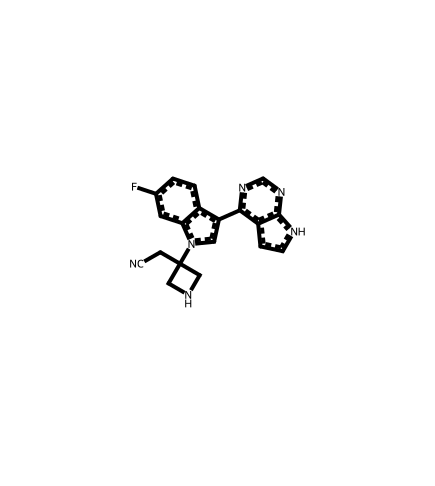 N#CCC1(n2cc(-c3ncnc4[nH]ccc34)c3ccc(F)cc32)CNC1